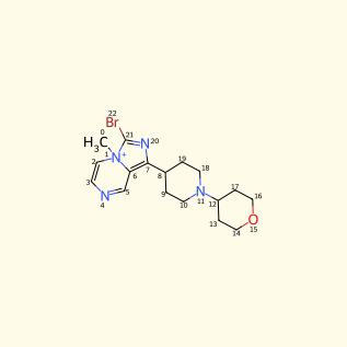 C[N+]12C=CN=CC1=C(C1CCN(C3CCOCC3)CC1)N=C2Br